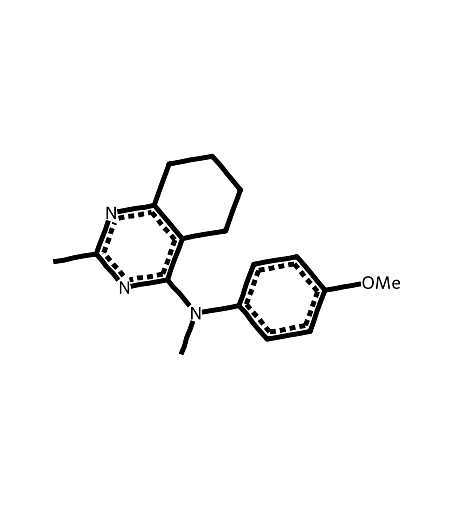 COc1ccc(N(C)c2nc(C)nc3c2CCCC3)cc1